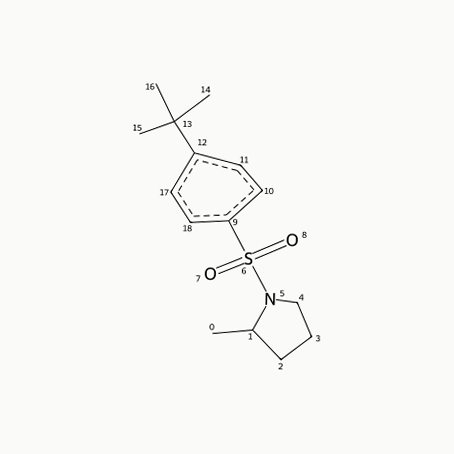 CC1CCCN1S(=O)(=O)c1ccc(C(C)(C)C)cc1